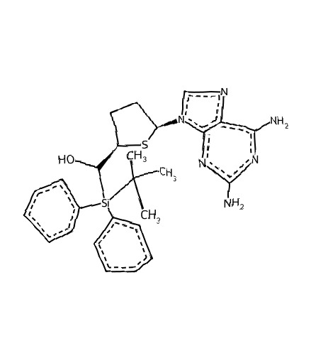 CC(C)(C)[Si](c1ccccc1)(c1ccccc1)C(O)[C@H]1CC[C@@H](n2cnc3c(N)nc(N)nc32)S1